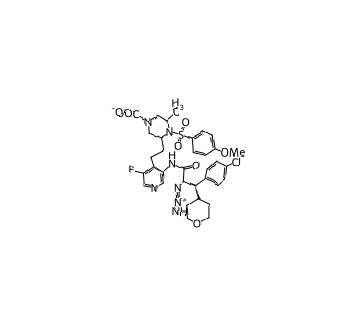 COc1ccc(S(=O)(=O)N2C(C)CN(C(=O)[O-])CC2CCc2c(F)cncc2NC(=O)[C@@H](N=[N+]=N)[C@@H](c2ccc(Cl)cc2)C2CCOCC2)cc1